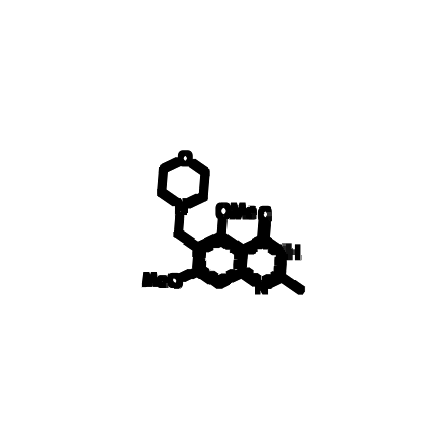 COc1cc2nc(C)[nH]c(=O)c2c(OC)c1CN1CCOCC1